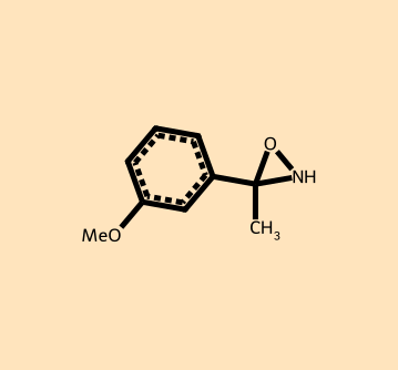 COc1cccc(C2(C)NO2)c1